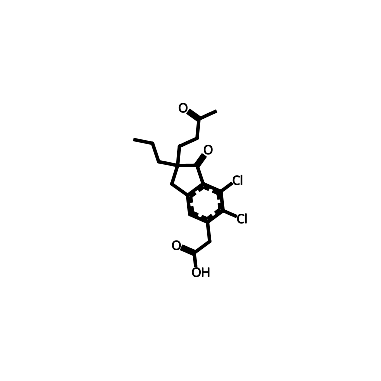 CCCC1(CCC(C)=O)Cc2cc(CC(=O)O)c(Cl)c(Cl)c2C1=O